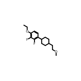 CCOc1ccc(C2CCC(CCOC)CC2)c(F)c1F